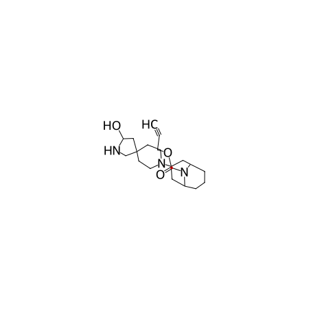 C#CCOC(=O)N1C2CCCC1CC(N1CCC3(CC1)CNC(O)C3)C2